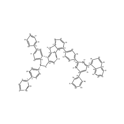 c1ccc(-c2ccc(C(Cc3ccc4c(c3)oc3cccc(-c5ccc(-c6nc(-c7ccccc7)cc(-c7cccc8ccccc78)n6)cc5)c34)c3ccc(-c4ccccc4)cc3)cc2)cc1